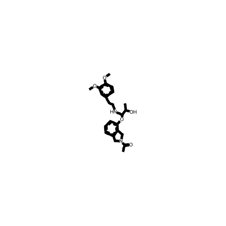 COc1ccc(CCNC(Oc2cccc3c2CN(C(C)=O)C3)C(C)O)cc1OC